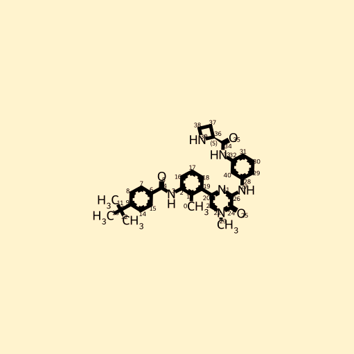 Cc1c(NC(=O)c2ccc(C(C)(C)C)cc2)cccc1-c1cn(C)c(=O)c(Nc2cccc(NC(=O)[C@@H]3CCN3)c2)n1